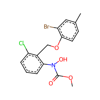 COC(=O)N(O)c1cccc(Cl)c1COc1ccc(C)cc1Br